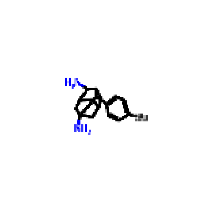 CC(C)(C)c1ccc(C2C3CC4CC(CC2(N)C4)C3N)cc1